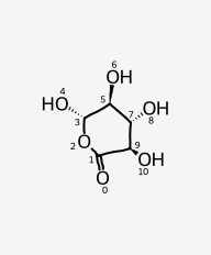 O=C1O[C@H](O)[C@@H](O)[C@H](O)[C@H]1O